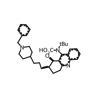 CC(C)(C)N(C(=O)O)c1c2c(nc3ccccc13)CCC(=CCCC1CCN(Cc3ccccc3)CC1)C2=O